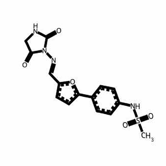 CS(=O)(=O)Nc1ccc(-c2ccc(C=NN3C(=O)CNC3=O)o2)cc1